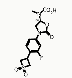 CN(C(=O)O)[C@@H]1CN(c2ccc(C3CS(=O)(=O)C3)c(F)c2)C(=O)O1